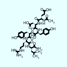 CC(=O)N[C@@H](CCC(=O)O)C(=O)N[C@@H](CC(=O)O)C(=O)N[C@@H](Cc1ccc(O)cc1)C(=O)N[C@@H](Cc1ccc(O)cc1)C(=O)N[C@@H](CCCNC(=N)N)C(=O)N[C@@H](CC(C)C)C(N)=O